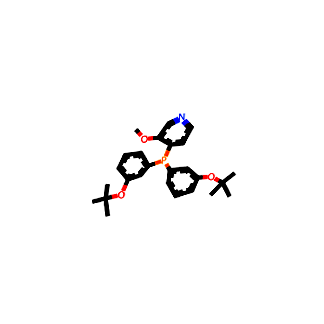 COc1cnccc1P(c1cccc(OC(C)(C)C)c1)c1cccc(OC(C)(C)C)c1